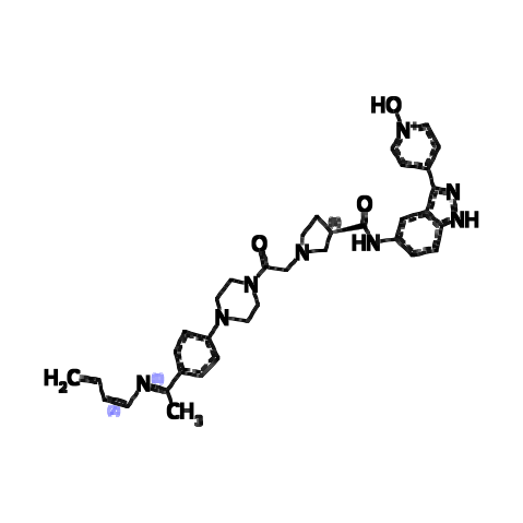 C=C/C=C\N=C(/C)c1ccc(N2CCN(C(=O)CN3CC[C@@H](C(=O)Nc4ccc5[nH]nc(-c6cc[n+](O)cc6)c5c4)C3)CC2)cc1